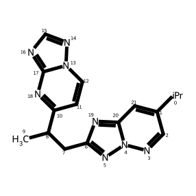 CC(C)c1cnn2nc(CC(C)c3ccn4ncnc4n3)nc2c1